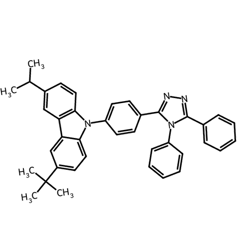 CC(C)c1ccc2c(c1)c1cc(C(C)(C)C)ccc1n2-c1ccc(-c2nnc(-c3ccccc3)n2-c2ccccc2)cc1